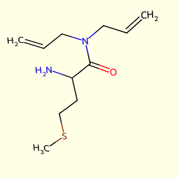 C=CCN(CC=C)C(=O)C(N)CCSC